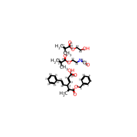 C=C(C(=O)OCc1ccccc1)C(C=CC(=O)O)C=Cc1ccccc1.C=C(C)C(=O)OCCN=C=O.C=C(C)C(=O)OCCO